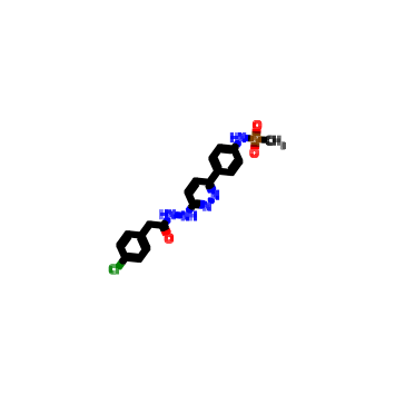 CS(=O)(=O)Nc1ccc(-c2ccc(NNC(=O)Cc3ccc(Cl)cc3)nn2)cc1